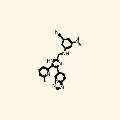 Cc1cccc(-c2[nH]c(CNC3=CC(N(C)C)=CC(C#N)C3)nc2-c2ccc3ncnn3c2)n1